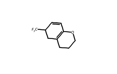 FC(F)(F)C1C=CC2=C(CCCO2)C1